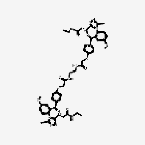 CCNC(=O)C[C@@H]1N=C(c2ccc(SCC(=O)NCCNC(=O)CSc3ccc(C4=N[C@H](CC(=O)NCC)c5nnc(C)n5-c5ccc(OC)cc54)cc3)cc2)c2cc(OC)ccc2-n2c(C)nnc21